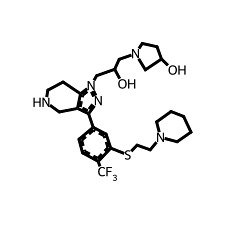 OC1CCN(CC(O)Cn2nc(-c3ccc(C(F)(F)F)c(SCCN4CCCCC4)c3)c3c2CCNC3)C1